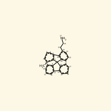 Cc1cccc2c1C1(c3ccccc3-c3ccccc31)c1cccc(CCN)c1-2